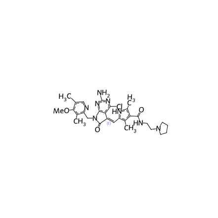 COc1c(C)cnc(CN2C(=O)/C(=C/c3[nH]c(C)c(C(=O)NCCN4CCCC4)c3C)c3c(Cl)nc(N)nc32)c1C